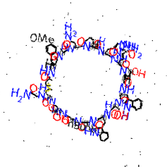 CCCC[C@H]1C(=O)N(C)[C@@H](CCCC)C(=O)N[C@@H]([C@H](C)O)C(=O)N[C@H](C(=O)NCC(N)=O)CSCC(=O)N[C@H]2Cc3ccc(OC)cc3N(C2=O)[C@@H](C)C(=O)N[C@@H](CC(N)=O)C(=O)N2CCC[C@H]2C(=O)N[C@@H](Cc2c[nH]cn2)C(=O)N[C@@H](CCC(N)=O)C(=O)N2C[C@H](O)C[C@H]2C(=O)N[C@@H](Cc2c[nH]c3ccccc23)C(=O)N[C@@H](CO)C(=O)N[C@@H](Cc2c[nH]c3ccccc23)C(=O)N1C